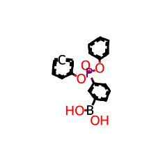 O=P(Oc1ccccc1)(Oc1ccccc1)c1cccc(B(O)O)c1